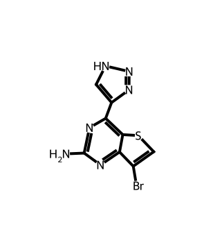 Nc1nc(-c2c[nH]nn2)c2scc(Br)c2n1